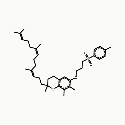 CC(C)=CCCC(C)=CCCC(C)=CCCC1(C)CCc2cc(OCCCS(=O)(=O)c3ccc(C)cc3)c(C)c(C)c2O1